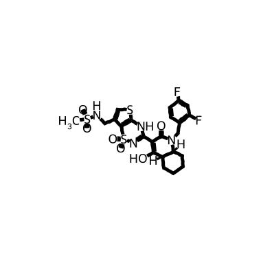 CS(=O)(=O)NCc1csc2c1S(=O)(=O)N=C(C1=C(O)[C@H]3CCCC[C@H]3N(Cc3ccc(F)cc3F)C1=O)N2